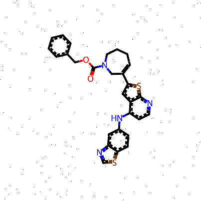 O=C(OCc1ccccc1)N1CCCC=C(c2cc3c(Nc4ccc5scnc5c4)ccnc3s2)C1